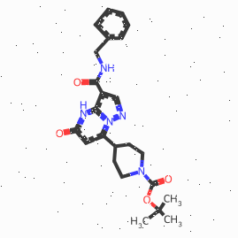 CC(C)(C)OC(=O)N1CCC(c2cc(=O)[nH]c3c(C(=O)NCc4ccccc4)cnn23)CC1